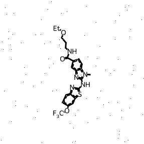 CCOCCCNC(=O)c1ccc2c(c1)nc(Nc1nc3ccc(OC(F)(F)F)cc3s1)n2C